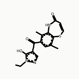 CCn1ncc(C(=O)c2cc(C)c3c(c2C)NC(=O)C=CS3)c1O